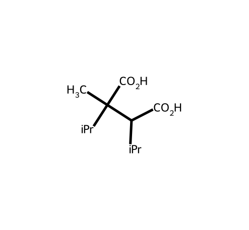 CC(C)C(C(=O)O)C(C)(C(=O)O)C(C)C